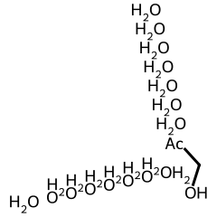 CC(=O)CO.O.O.O.O.O.O.O.O.O.O.O.O.O.O.O